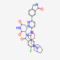 O=C1CCC(N2C(=O)c3cc(F)c(N4C5CCC4CN(CC4CCN(c6ccc(-c7ccc8c(c7)C(=O)N=C8)nn6)CC4)C5)cc3C2=O)C(=O)N1